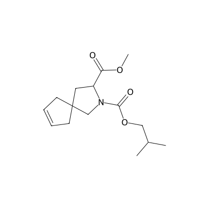 COC(=O)C1CC2(CC=CC2)CN1C(=O)OCC(C)C